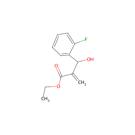 C=C(C(=O)OCC)C(O)c1ccccc1F